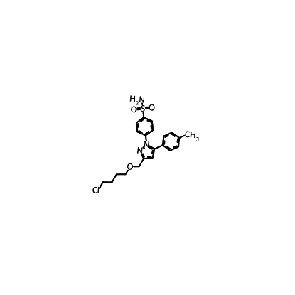 Cc1ccc(-c2cc(COCCCCCl)nn2-c2ccc(S(N)(=O)=O)cc2)cc1